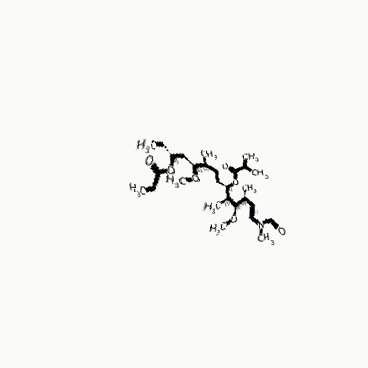 CCC(=O)O[C@H](CC)C[C@H](OC)[C@@H](C)CC[C@@H](OC(=O)C(C)C)[C@H](C)[C@H](OC)[C@H](C)/C=C/N(C)C=O